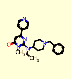 CCN(c1nc(-c2ccncc2)cc(=O)n1C)C1CCN(Cc2ccccc2)CC1